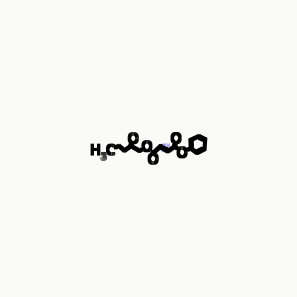 CCCC(=O)COC(=O)/C=C/C(=O)Oc1ccccc1